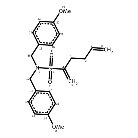 C=CCCC(=C)S(=O)(=O)N(Cc1ccc(OC)cc1)Cc1ccc(OC)cc1